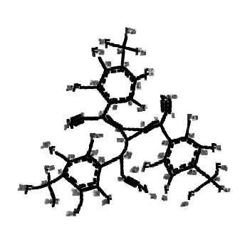 N#C/C(=C1\C(=C(\C#N)c2c(F)c(F)c(C(F)(F)F)c(F)c2F)C1C(C#N)c1c(F)c(F)c(C(F)(F)F)c(F)c1F)c1c(F)c(F)c(C(F)(F)F)c(F)c1F